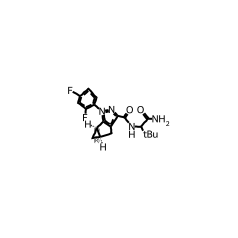 CC(C)(C)C(NC(=O)c1nn(-c2ccc(F)cc2F)c2c1C[C@H]1C[C@@H]21)C(N)=O